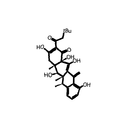 C=C1C2=C(O)[C@@]3(O)C(=O)C(C(=O)CC(C)(C)C)=C(O)C[C@@]3(C)[C@H](O)[C@@]2(C)[C@H](C)c2cccc(O)c21